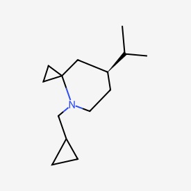 CC(C)[C@H]1CCN(CC2CC2)C2(CC2)C1